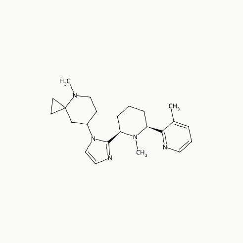 Cc1cccnc1[C@@H]1CCC[C@H](c2nccn2C2CCN(C)C3(CC3)C2)N1C